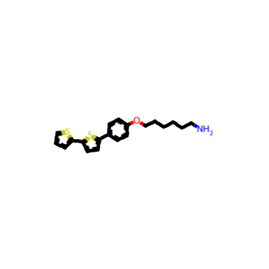 NCCCCCCOc1ccc(-c2ccc(-c3cccs3)s2)cc1